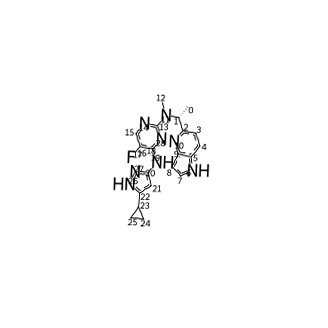 C[C@H](c1ccc2[nH]ccc2n1)N(C)c1ncc(F)c(Nc2cc(C3CC3)[nH]n2)n1